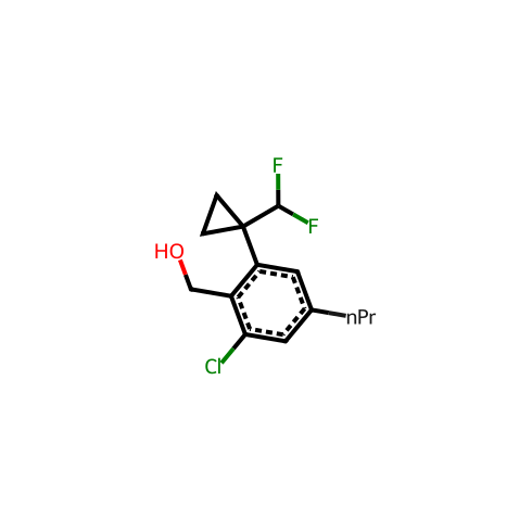 CCCc1cc(Cl)c(CO)c(C2(C(F)F)CC2)c1